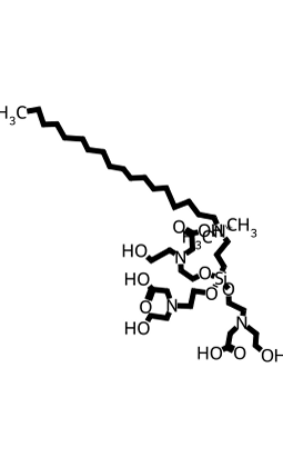 CCCCCCCCCCCCCCCCCC[N+](C)(C)CCC[Si](OCCN(CCO)CC(=O)O)(OCCN(CCO)CC(=O)O)OCCN(CCO)CC(=O)O